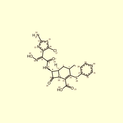 CC1C[C@@H]2[C@H](NC(=O)C(=NO)c3nc(N)sc3Cl)C(=O)N2C(C(=O)O)=C1Sc1ccncc1